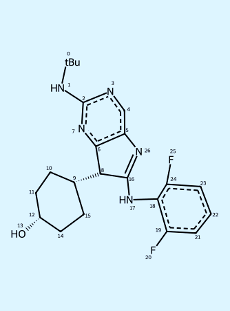 CC(C)(C)Nc1ncc2c(n1)C([C@H]1CC[C@@H](O)CC1)C(Nc1c(F)cccc1F)=N2